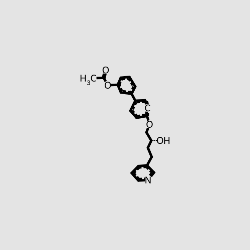 CC(=O)Oc1cccc(-c2ccc(OC[C@H](O)CCc3cccnc3)cc2)c1